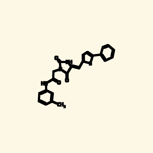 Cc1cccc(NC(=O)CN2C(=O)N/C(=C\c3ccc(-c4ccccc4)s3)C2=O)c1